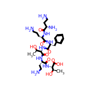 C[C@@H](O)[C@H](NC(=O)[C@H](CCN)NC(=O)[C@@H](NC(=O)[C@@H](Cc1ccccc1)NC(=O)[C@H](CCCN)NC(=O)[C@@H](N)CCN)[C@@H](C)O)C(=O)O